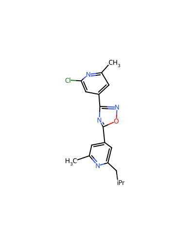 Cc1cc(-c2noc(-c3cc(C)nc(CC(C)C)c3)n2)cc(Cl)n1